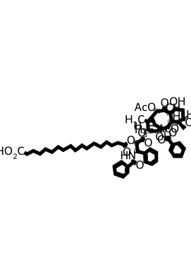 CC(=O)O[C@H]1C(=O)[C@@]2(C)[C@H]([C@H](OC(=O)c3ccccc3)[C@]3(O)C[C@H](OC(=O)[C@H](OC(=O)CCCCCCCCCCCCCCCCC(=O)O)[C@@H](NC(=O)c4ccccc4)c4ccccc4)C(C)=C1C3(C)C)[C@]1(OC(C)=O)CO[C@@H]1C[C@@H]2O